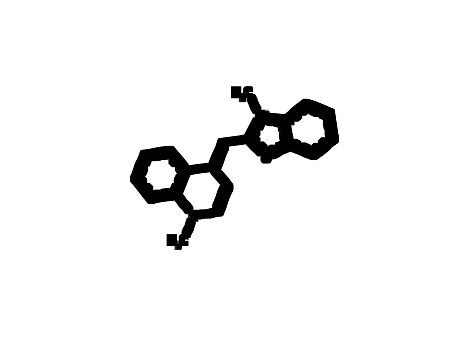 CN1C=C/C(=C\c2oc3ccccc3[n+]2C)c2ccccc21